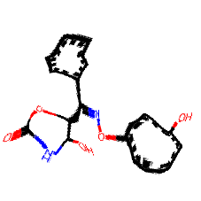 O=C1NC(O)C(/C(=N\Oc2cccc(O)c2)c2ccccc2)O1